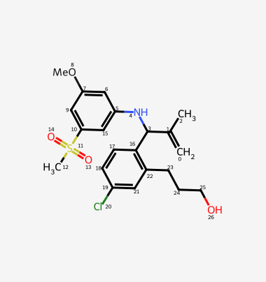 C=C(C)C(Nc1cc(OC)cc(S(C)(=O)=O)c1)c1ccc(Cl)cc1CCCO